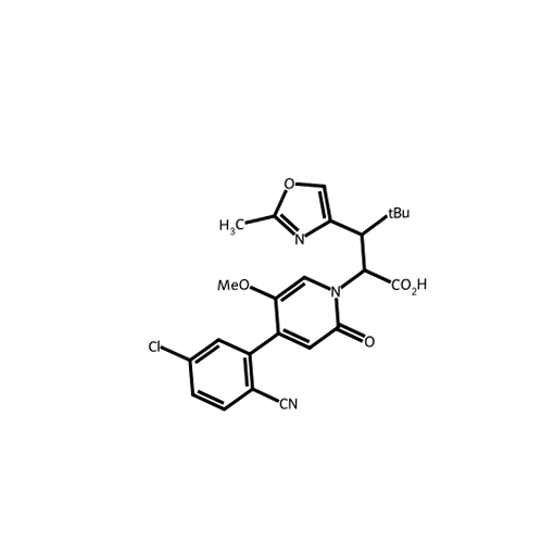 COc1cn(C(C(=O)O)C(c2coc(C)n2)C(C)(C)C)c(=O)cc1-c1cc(Cl)ccc1C#N